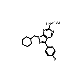 CCCCNc1ncc2c(-c3ccc(F)cc3)nn(CC3CCCCC3)c2n1